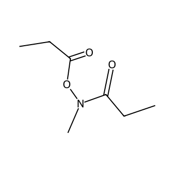 CCC(=O)ON(C)C(=O)CC